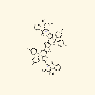 Cc1ccc(C2(c3ccc(C)cc3)Oc3c(sc4c5c(sc34)-c3sc(/C=C4\C(=O)c6ccccc6C4=C(C#N)C#N)cc3C(c3ccc(C)cc3)(c3ccc(C)cc3)O5)-c3sc(/C=C4\C(=O)c5ccccc5C4=C(C#N)C#N)cc32)cc1